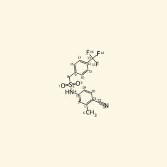 Cc1cc(NS(=O)(=O)Cc2ccc(C(F)(F)F)cc2)ccc1C#N